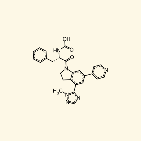 Cn1ncnc1-c1cc(-c2ccncc2)cc2c1CCN2C(=O)[C@H](Cc1ccccc1)NC(=O)O